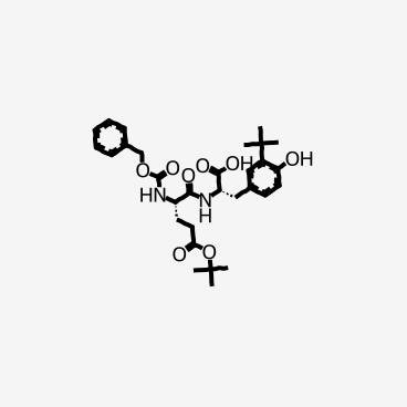 CC(C)(C)OC(=O)CC[C@H](NC(=O)OCc1ccccc1)C(=O)N[C@@H](Cc1ccc(O)c(C(C)(C)C)c1)C(=O)O